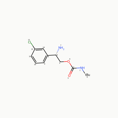 CC(C)(C)NC(=O)OC[C@@H](N)c1cccc(Cl)c1